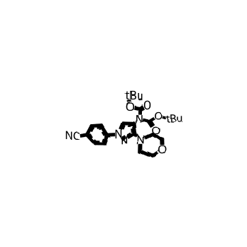 CC(C)(C)OC(=O)N(C(=O)OC(C)(C)C)c1cn(-c2ccc(C#N)cc2)nc1N1CCOCC1